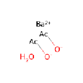 CC(=O)[O-].CC(=O)[O-].O.[Ba+2]